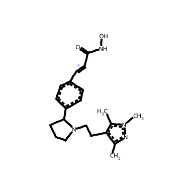 Cc1nn(C)c(C)c1CCN1CCCC1c1ccc(/C=C/C(=O)NO)cc1